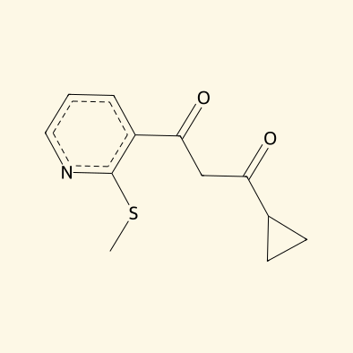 CSc1ncccc1C(=O)CC(=O)C1CC1